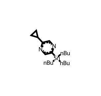 CCC[CH2][Sn]([CH2]CCC)([CH2]CCC)[c]1cnc(C2CC2)cn1